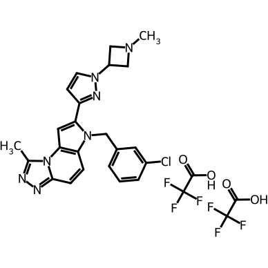 Cc1nnc2ccc3c(cc(-c4ccn(C5CN(C)C5)n4)n3Cc3cccc(Cl)c3)n12.O=C(O)C(F)(F)F.O=C(O)C(F)(F)F